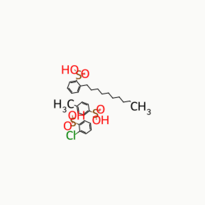 CCCCCCCCCCc1ccccc1S(=O)O.Cc1ccc(S(=O)O)cc1.O=S(O)c1ccccc1Cl